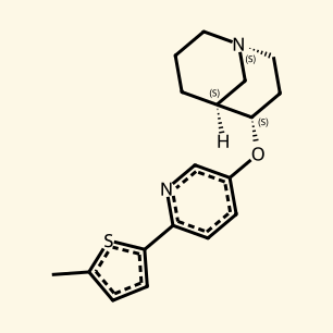 Cc1ccc(-c2ccc(O[C@H]3CC[N@@]4CCC[C@H]3C4)cn2)s1